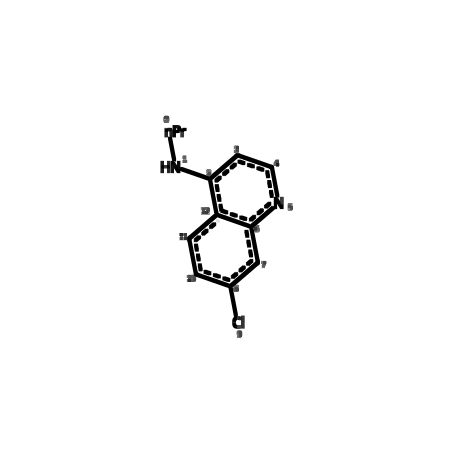 CCCNc1ccnc2cc(Cl)ccc12